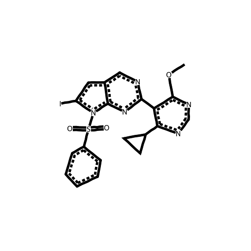 COc1ncnc(C2CC2)c1-c1ncc2cc(I)n(S(=O)(=O)c3ccccc3)c2n1